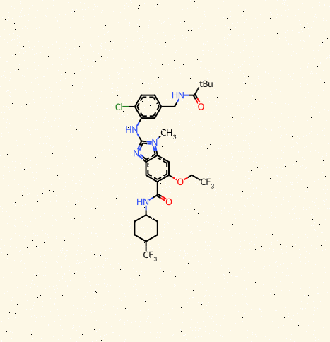 Cn1c(Nc2cc(CNC(=O)C(C)(C)C)ccc2Cl)nc2cc(C(=O)NC3CCC(C(F)(F)F)CC3)c(OCC(F)(F)F)cc21